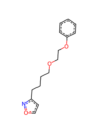 c1ccc(OCCOCCCCc2ccon2)cc1